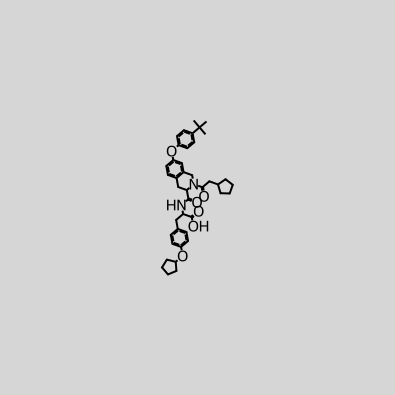 CC(C)(C)c1ccc(Oc2ccc3c(c2)CN(C(=O)CC2CCCC2)C(C(=O)NC(Cc2ccc(OC4CCCC4)cc2)C(=O)O)C3)cc1